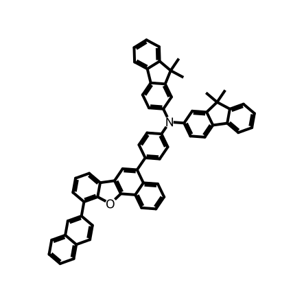 CC1(C)c2ccccc2-c2ccc(N(c3ccc(-c4cc5c6cccc(-c7ccc8ccccc8c7)c6oc5c5ccccc45)cc3)c3ccc4c(c3)C(C)(C)c3ccccc3-4)cc21